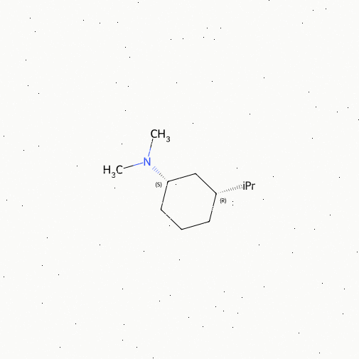 CC(C)[C@@H]1CCC[C@H](N(C)C)C1